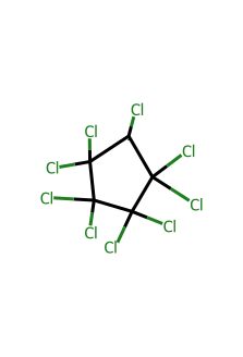 Cl[C]1C(Cl)(Cl)C(Cl)(Cl)C(Cl)(Cl)C1(Cl)Cl